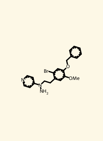 COc1cc(CCN(N)c2ccncc2)c(Br)cc1OCc1ccccc1